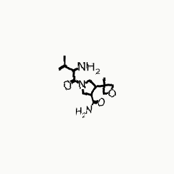 CC(C)C(N)C(=O)N1CC(C(N)=O)C(C2(C)COC2)C1